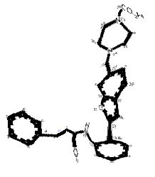 O=C(/C=C/c1ccccc1)Nc1ccccc1-c1cc2ccc(CN3CCN(C(=O)O)CC3)cc2o1